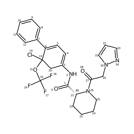 O=C(NC1=CC=C(c2ccccc2)C(Cl)(OC(F)(F)F)C1)[C@H]1CCCCN1C(=O)Cn1cccn1